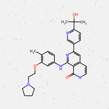 Cc1ccc(Nc2nc(-c3ccc(C(C)(C)O)nc3)cc3c2C(=O)[N]C=C3)cc1OCCN1CCCC1